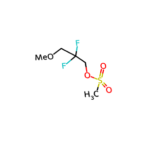 COCC(F)(F)COS(C)(=O)=O